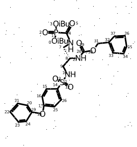 CC(C)COP(=O)(OCC(C)C)C(=O)NC[C@@H](CNS(=O)(=O)c1ccc(Oc2ccccc2)cc1)NC(=O)OCc1ccccc1